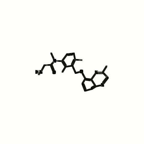 Cc1cnc2cccc(OCc3c(C)ccc(N(C)C(=O)CN)c3C)c2n1